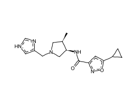 C[C@@H]1CN(Cc2c[nH]cn2)C[C@@H]1NC(=O)c1cc(C2CC2)on1